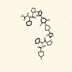 COC(=O)N[C@@H](C(=O)N1CCC[C@H]1c1ncc(-c2cc(F)c(N3CCC(c4cnc([C@@H]5CCCN5C(=O)[C@H](NC(=O)N5CCN(C)CC5)c5ccccc5)[nH]4)CC3)c(F)c2)[nH]1)c1ccccc1